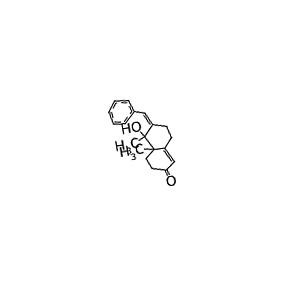 CC12CCC(=O)C=C1CC/C(=C/c1ccccc1)C2(C)O